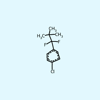 CC(C)(C)C(F)(F)c1ccc(Cl)cc1